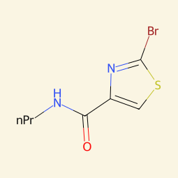 CCCNC(=O)c1csc(Br)n1